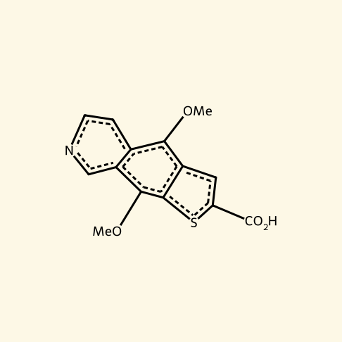 COc1c2ccncc2c(OC)c2sc(C(=O)O)cc12